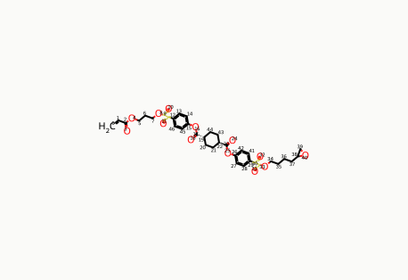 C=CC(=O)OCCCOS(=O)(=O)c1ccc(OC(=O)[C@H]2CC[C@H](C(=O)Oc3ccc(S(=O)(=O)OCCCCC4CO4)cc3)CC2)cc1